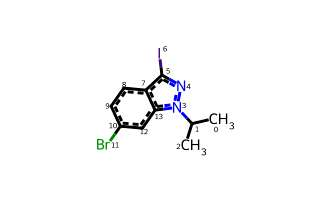 CC(C)n1nc(I)c2ccc(Br)cc21